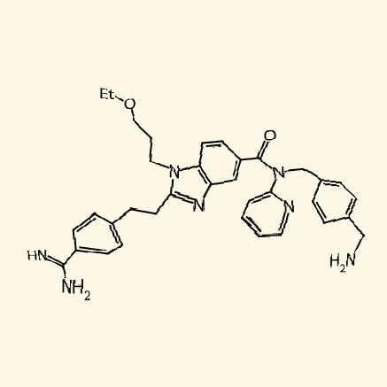 CCOCCCn1c(CCc2ccc(C(=N)N)cc2)nc2cc(C(=O)N(Cc3ccc(CN)cc3)c3ccccn3)ccc21